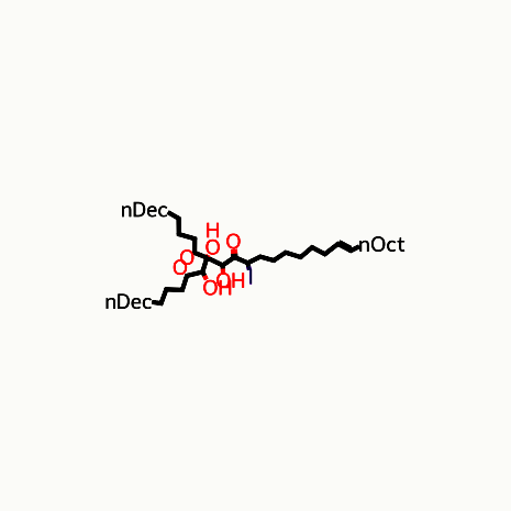 CCCCCCCCC=CCCCCCCC(I)C(=O)C(O)C(O)(C(=O)CCCCCCCCCCCCC)C(O)C(=O)CCCCCCCCCCCCC